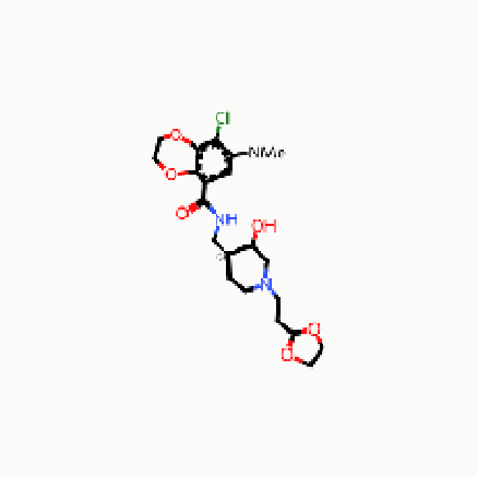 CNc1cc(C(=O)NC[C@@H]2CCN(CCC3OCCO3)CC2O)c2c(c1Cl)OCCO2